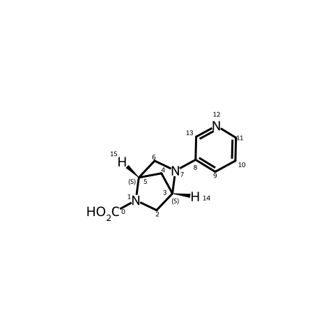 O=C(O)N1C[C@@H]2C[C@H]1CN2c1cccnc1